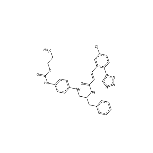 O=C(O)CCOC(=O)Nc1ccc(NCC(Cc2ccccc2)NC(=O)C=Cc2cc(Cl)ccc2-n2cnnn2)cc1